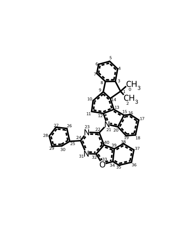 CC1(C)c2ccccc2-c2ccc3c(c21)c1ccccc1n3-c1nc(-c2ccccc2)nc2oc3ccccc3c12